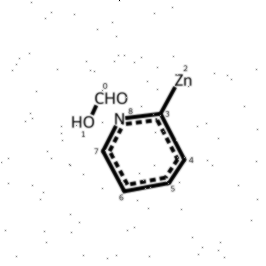 O=CO.[Zn][c]1ccccn1